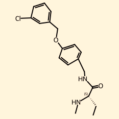 CC[C@H](NC)C(=O)NCc1ccc(OCc2cccc(Cl)c2)cc1